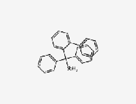 [SbH3][C](c1ccccc1)(c1ccccc1)c1ccccc1-c1ccccc1